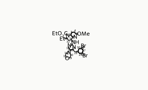 CCOC(=O)N1c2ccc(OC)nc2[C@@H](Nc2ncc(N3CCOCC3)c(Cc3cc(Br)cc(Br)c3)n2)C[C@H]1CC